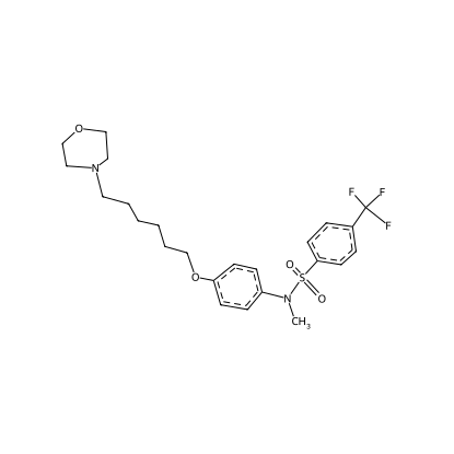 CN(c1ccc(OCCCCCCN2CCOCC2)cc1)S(=O)(=O)c1ccc(C(F)(F)F)cc1